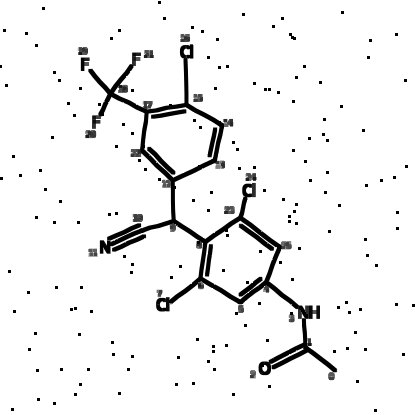 CC(=O)Nc1cc(Cl)c(C(C#N)c2ccc(Cl)c(C(F)(F)F)c2)c(Cl)c1